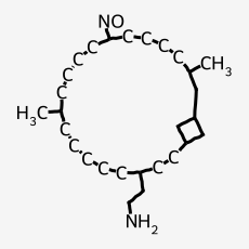 CC1CCCCCC(CCN)CCC2CC(CC(C)CCCCC(N=O)CCCC1)C2